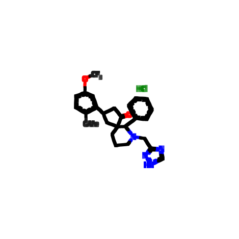 COc1ccc(OC(F)(F)F)cc1C1CC(=O)C2(CCCN(Cc3nc[nH]n3)C2c2ccccc2)C1.Cl